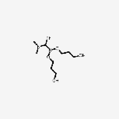 CCC(N(C)C)N(OCCCO)OCCCO